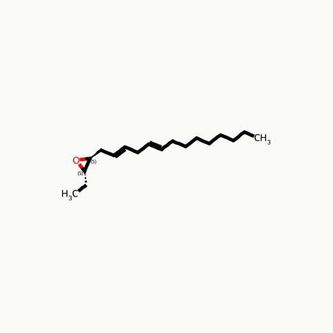 CCCCCCCCC=CCC=CC[C@@H]1O[C@H]1CC